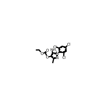 CCOC(=O)Oc1c(C)nn(-c2c(Cl)cc(Cl)cc2Cl)c1N